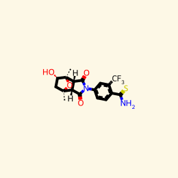 C[C@]12O[C@](C)(C[C@@H]1O)[C@H]1C(=O)N(c3ccc(C(N)=S)c(C(F)(F)F)c3)C(=O)[C@H]12